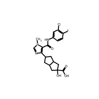 Cn1cnc(C2CC3CC(O)(C(=O)O)CC3C2)c1C(=O)Nc1ccc(F)c(Cl)c1